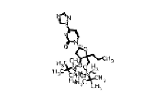 CCCC1(CO[Si](C)(C)C(C)(C)C)O[C@@H](n2ccc(-n3cncn3)nc2=O)CC1O[Si](C)(C)C(C)(C)C